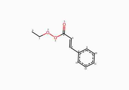 CCOOC(=O)C=Cc1ccccc1